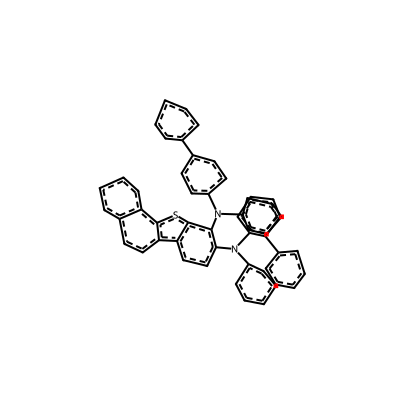 c1ccc(-c2ccc(N(c3ccccc3)c3c(N(c4ccccc4)c4ccccc4-c4ccccc4)ccc4c3sc3c5ccccc5ccc43)cc2)cc1